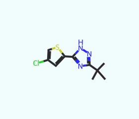 CC(C)(C)c1n[nH]c(-c2cc(Cl)cs2)n1